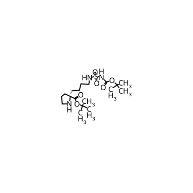 CC(C)(C)OC(=O)NS(=O)(=O)NCCCC[C@@]1(C(=O)OC(C)(C)C)CCCN1